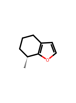 C[C@@H]1CCCc2ccoc21